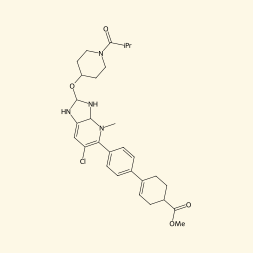 COC(=O)C1CC=C(c2ccc(C3=C(Cl)C=C4NC(OC5CCN(C(=O)C(C)C)CC5)NC4N3C)cc2)CC1